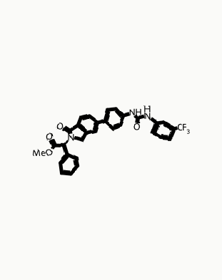 COC(=O)[C@H](c1ccccc1)N1Cc2cc(-c3ccc(NC(=O)Nc4cccc(C(F)(F)F)c4)cc3)ccc2C1=O